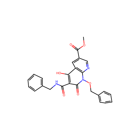 COC(=O)c1cnc2c(c1)c(O)c(C(=O)NCc1ccccc1)c(=O)n2OCc1ccccc1